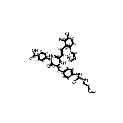 COCCNC(=O)Nc1ccc(CC(NC(=O)/C=C/c2c(-n3cnnn3)ccc(Cl)c2F)C(=O)Nc2ccc(C(=O)O)cc2)cc1